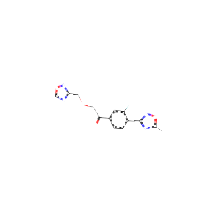 O=C(COCc1ncon1)c1ccc(-c2noc(C(F)(F)F)n2)c(F)c1